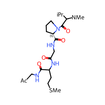 CNC(C(=O)N1CCC[C@H]1C(=O)NCC(=O)NC(CCSC)C(=O)NCC(C)=O)C(C)C